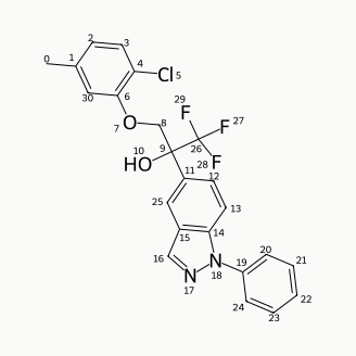 Cc1ccc(Cl)c(OCC(O)(c2ccc3c(cnn3-c3ccccc3)c2)C(F)(F)F)c1